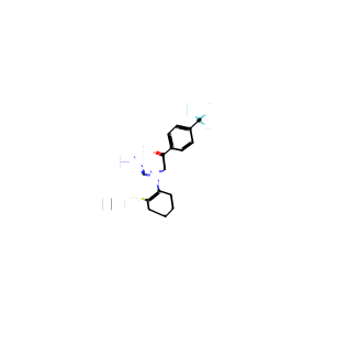 CSC1=C(N(C=N)CC(=O)c2ccc(C(F)(F)F)cc2)CCCC1